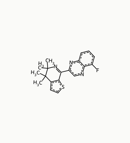 CC1(C)N=C(c2cnc3c(F)cccc3n2)c2sccc2C1(C)C